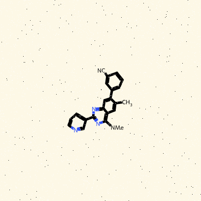 CNc1nc(-c2cccnc2)nc2cc(-c3cccc(C#N)c3)c(C)cc12